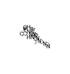 CCc1cc(Nc2ncc(Br)c(Nc3ccc4ccccc4c3P(C)(C)=O)n2)c(OC)nc1N1CCC(N2CCCN(C)CC2)CC1